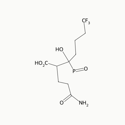 NC(=O)CCC(C(=O)O)C(O)(CCCC(F)(F)F)P=O